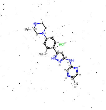 COc1cc(N2CCN[C@@H](C(C)C)C2)ccc1-c1cc(Nc2cnc(C#N)cn2)n[nH]1.Cl